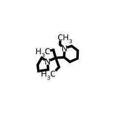 CCN1CCCCC1C(CC)(CC)N1CCCC1